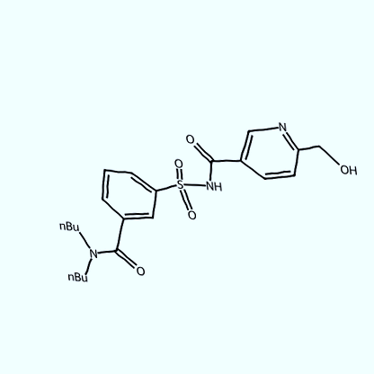 CCCCN(CCCC)C(=O)c1cccc(S(=O)(=O)NC(=O)c2ccc(CO)nc2)c1